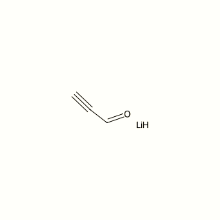 C#CC=O.[LiH]